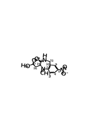 CN1c2ccc([N+](=O)[O-])cc2CNC(=O)C1CC(=O)O